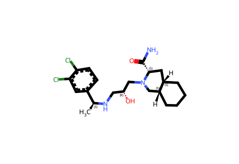 C[C@H](NC[C@@H](O)CN1C[C@H]2CCCC[C@H]2C[C@H]1C(N)=O)c1ccc(Cl)c(Cl)c1